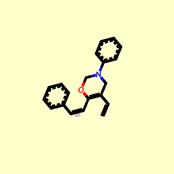 C=CC1=C(/C=C\c2ccccc2)OCN(c2ccccc2)C1